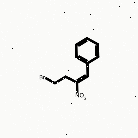 O=[N+]([O-])C(=Cc1ccccc1)CCBr